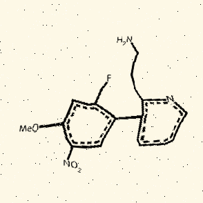 COc1cc(F)c(-c2cccnc2CCN)cc1[N+](=O)[O-]